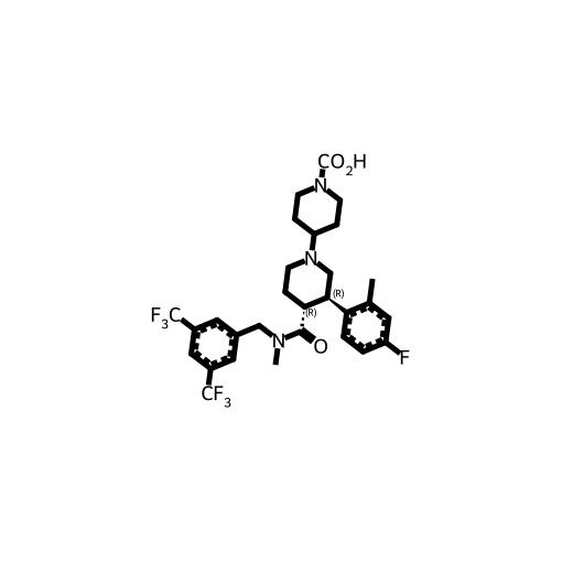 Cc1cc(F)ccc1[C@@H]1CN(C2CCN(C(=O)O)CC2)CC[C@H]1C(=O)N(C)Cc1cc(C(F)(F)F)cc(C(F)(F)F)c1